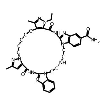 CCn1nc(C)c2c1C(=O)Nc1nc3cc(C(N)=O)ccc3n1CCNCCn1c(nc3ccccc31)NC(=O)c1cc(C)nn1CCCCC2